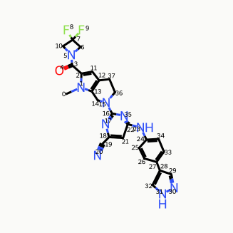 Cn1c(C(=O)N2CC(F)(F)C2)cc2c1CN(c1nc(C#N)cc(Nc3ccc(-c4cn[nH]c4)cc3)n1)CC2